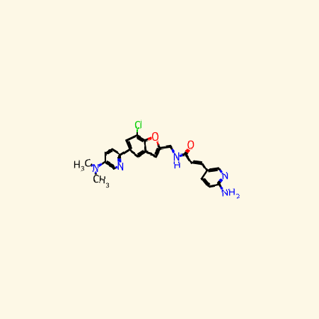 CN(C)c1ccc(-c2cc(Cl)c3oc(CNC(=O)/C=C/c4ccc(N)nc4)cc3c2)nc1